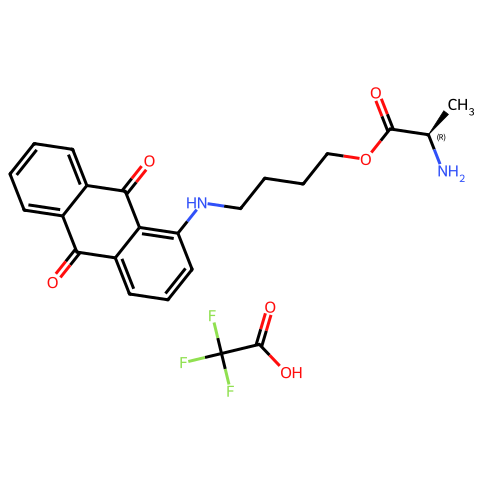 C[C@@H](N)C(=O)OCCCCNc1cccc2c1C(=O)c1ccccc1C2=O.O=C(O)C(F)(F)F